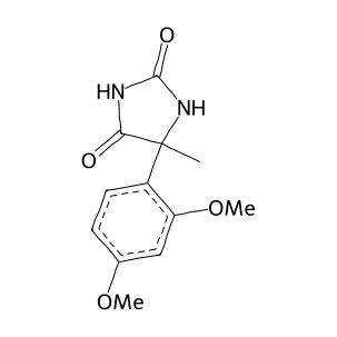 COc1ccc(C2(C)NC(=O)NC2=O)c(OC)c1